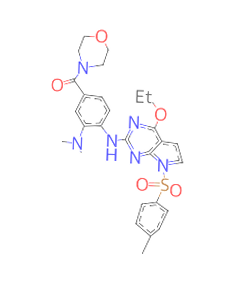 CCOc1nc(Nc2ccc(C(=O)N3CCOCC3)cc2N(C)C)nc2c1ccn2S(=O)(=O)c1ccc(C)cc1